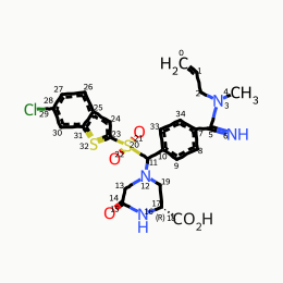 C=CCN(C)C(=N)c1ccc(C(N2CC(=O)N[C@@H](C(=O)O)C2)S(=O)(=O)c2cc3ccc(Cl)cc3s2)cc1